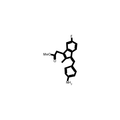 COC(=O)CC1=C(C)C(=Cc2ccc(N)cc2)c2ccc(F)cc21